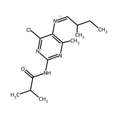 CCC(C)/C=N\c1c(C)nc(NC(=O)C(C)C)nc1Cl